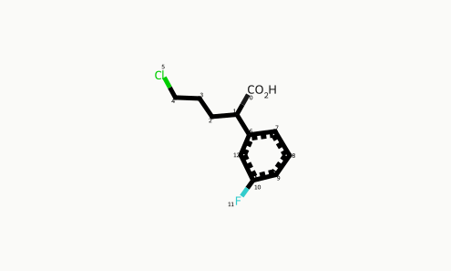 O=C(O)C(CCCCl)c1cccc(F)c1